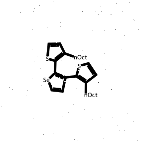 CCCCCCCCc1ccsc1-c1cc[se]c1-c1sccc1CCCCCCCC